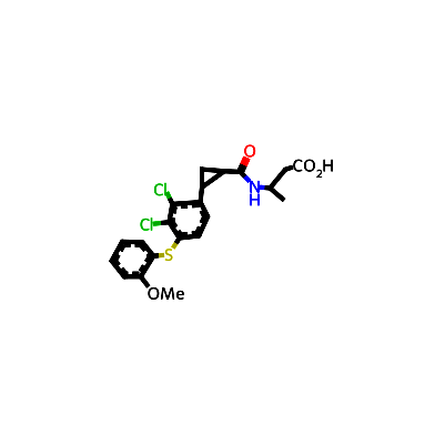 COc1ccccc1Sc1ccc(C2CC2C(=O)NC(C)CC(=O)O)c(Cl)c1Cl